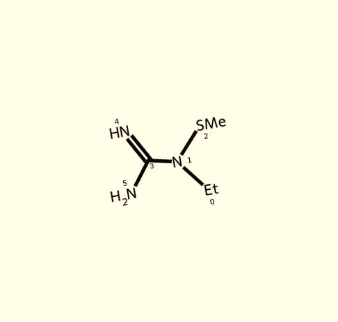 CCN(SC)C(=N)N